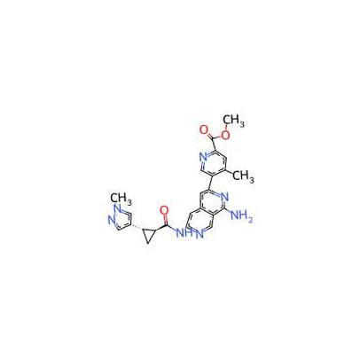 COC(=O)c1cc(C)c(-c2cc3cc(NC(=O)[C@H]4C[C@@H]4c4cnn(C)c4)ncc3c(N)n2)cn1